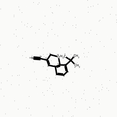 CC(C)(C)c1cccc2c1OCC(C#N)=C2